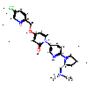 CN(C)C[C@H]1CCCN1c1ccc(-n2ccc(OCc3ccc(Cl)cn3)cc2=O)cn1